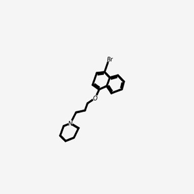 Brc1ccc(OCCCN2CCCCC2)c2ccccc12